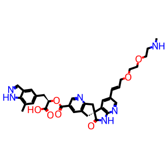 CNCCOCCOC/C=C/c1cnc2c(c1)[C@@]1(Cc3cc(C(=O)O[C@H](Cc4cc(C)c5[nH]ncc5c4)C(=O)O)cnc3C1)C(=O)N2